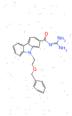 NC(N)=NC(=O)c1ccc2c3ccccc3n(CCOCc3ccccc3)c2c1